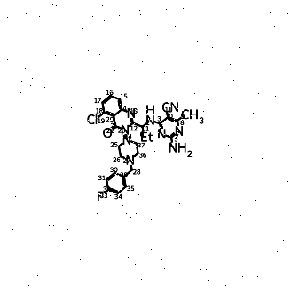 CCC(Nc1nc(N)nc(C)c1C#N)c1nc2cccc(Cl)c2c(=O)n1N1CCN(Cc2ccc(F)cc2)CC1